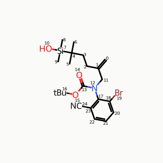 C=C(CCC(C)(C)[Si](C)(C)O)CN(C(=O)OC(C)(C)C)c1c(Br)cccc1C#N